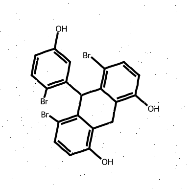 Oc1ccc(Br)c(C2c3c(Br)ccc(O)c3Cc3c(O)ccc(Br)c32)c1